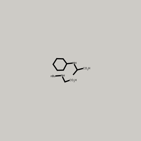 CC(NC1CCCCC1)C(=O)O.CCCCNCC(=O)O